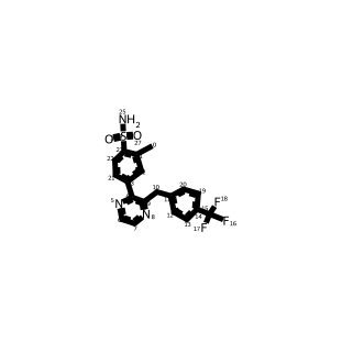 Cc1cc(-c2nccnc2Cc2ccc(C(F)(F)F)cc2)ccc1S(N)(=O)=O